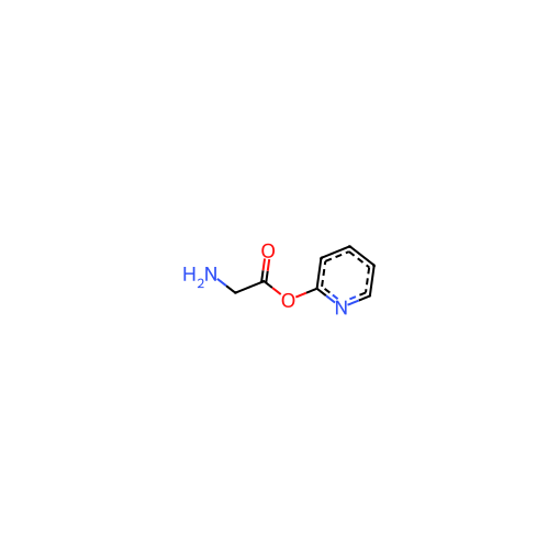 NCC(=O)Oc1ccccn1